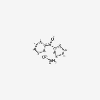 O=C(c1ccccc1)c1ccccc1.[SiH3]Cl